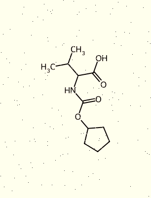 CC(C)C(NC(=O)OC1CCCC1)C(=O)O